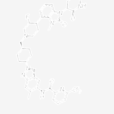 Cc1cc2nn([C@H]3CC[C@H](CN4CCC(c5cccc6c5n(C)c(=O)n6C5CCC(=O)NC5=O)C(F)C4)CC3)cc2cc1NC(=O)c1cccc(C(F)(F)F)n1